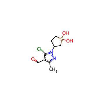 Cc1nn(C2CCS(O)(O)C2)c(Cl)c1C=O